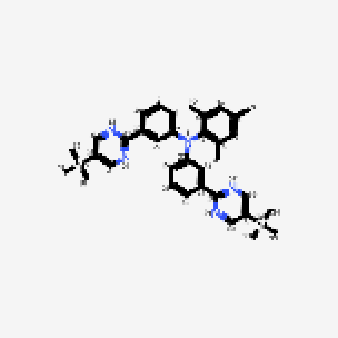 Cc1cc(C)c(N(c2cccc(-c3ncc([Si](C)(C)C)cn3)c2)c2cccc(-c3ncc([Si](C)(C)C)cn3)c2)c(C)c1